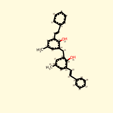 Cc1cc(C=Cc2ccccc2)c(O)c(Cc2cc(C)cc(C=Cc3ccccc3)c2O)c1